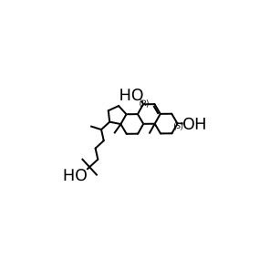 CC(CCCC(C)(C)O)C1CCC2C3C(CCC12C)C1(C)CC[C@H](O)CC1=C[C@@H]3O